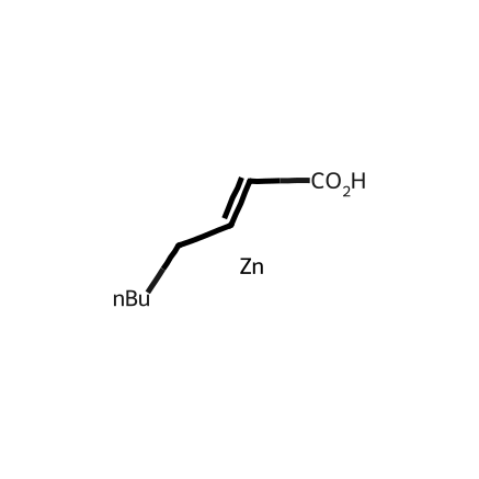 CCCCCC=CC(=O)O.[Zn]